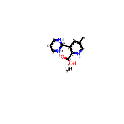 Cc1cnc(C(=O)O)c(-c2ncccn2)c1.[LiH]